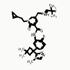 Cn1cnnc1C1(c2ccc(F)c(NC(=O)c3cc(CNCC(C)(C)F)cn(CCC4CC4)c3=O)c2)CC(C)(C)C1